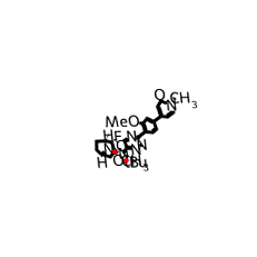 COc1cc(-c2ccn(C)c(=O)c2)ccc1-c1ncc(N(C)[C@@H]2C[C@H]3CC[C@@H]([C@@H]2F)N3C(=O)OC(C)(C)C)nn1